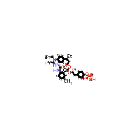 CCC(CC(=O)O[C@H](C)OC(=O)Cc1ccc(OP(=O)(O)O)cc1)c1ccc(N(CC(C)C)CC(C)C)c(NC(=O)Nc2ccc(C)cc2)c1